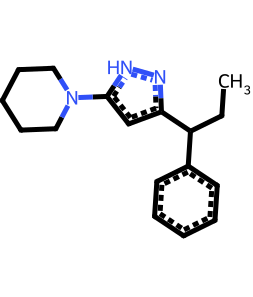 CCC(c1ccccc1)c1cc(N2CCCCC2)[nH]n1